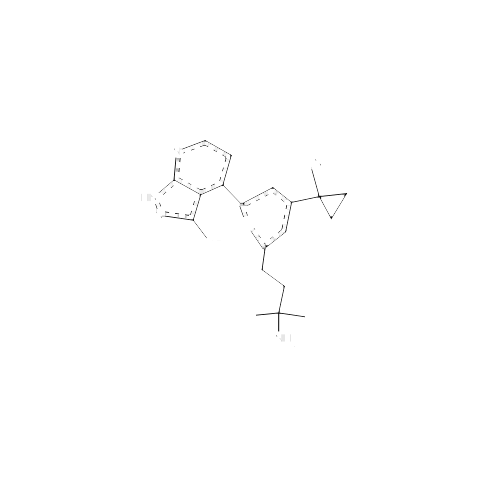 CC(C)(N)CCc1cc(-c2ccnc3[nH]nc(C(F)(F)F)c23)cc(C2(C#N)CC2)c1